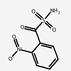 NS(=O)(=O)C(=O)c1ccccc1[N+](=O)[O-]